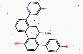 CC(=O)OC1Cc2c(-c3cc(C)ccn3)cccc2-c2c(O)ccc(-c3ccc(Br)cc3)c21